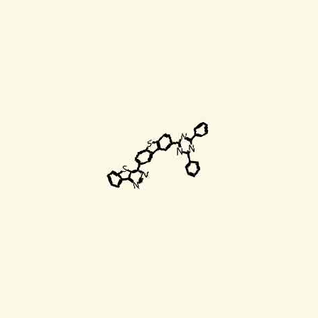 c1ccc(-c2nc(-c3ccccc3)nc(-c3ccc4sc5ccc(-c6ncnc7c6sc6ccccc67)cc5c4c3)n2)cc1